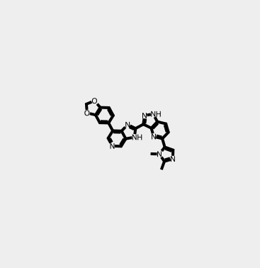 Cc1ncc(-c2ccc3[nH]nc(-c4nc5c(-c6ccc7c(c6)OCO7)cncc5[nH]4)c3n2)n1C